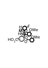 COc1cc(OC)c(OC)c(C(=O)[C@@]2(OC(=O)c3ccccc3)CCCN(C(=O)O)C[C@H]2NC(=O)c2cc(F)ccc2O)c1